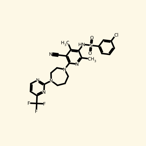 Cc1nc(N2CCCN(c3nccc(C(F)(F)F)n3)CC2)c(C#N)c(C)c1NS(=O)(=O)c1cccc(Cl)c1